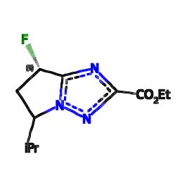 CCOC(=O)c1nc2n(n1)C(C(C)C)C[C@@H]2F